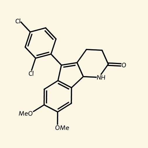 COc1cc2c(cc1OC)C1NC(=O)CCC1=C2c1ccc(Cl)cc1Cl